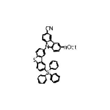 CCCCCCCCc1ccc2c(c1)c1cc(C#N)ccc1n2-c1ccc2sc3ccc([Si](c4ccccc4)(c4ccccc4)c4ccccc4)cc3c2c1